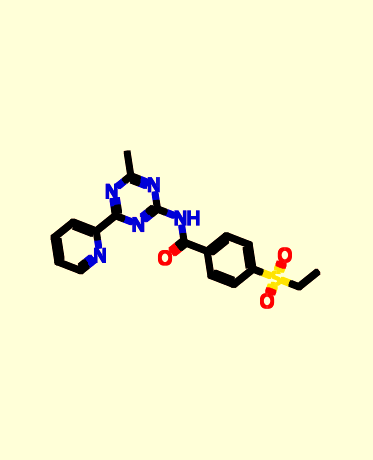 CCS(=O)(=O)c1ccc(C(=O)Nc2nc(C)nc(-c3ccccn3)n2)cc1